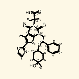 Cc1c(-c2ncco2)sc2c1c(=O)n(C(C)(C)C(=O)O)c(=O)n2C[C@H](OC1CCC(C)(O)CC1)c1ccccc1